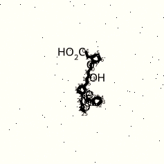 O=C(O)CCc1ccccc1OCCC(O)/C=C/c1cccc(N(CC2CCO2)S(=O)(=O)c2ccccc2)c1